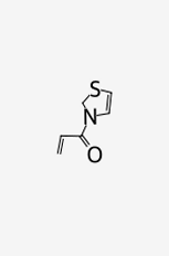 C=CC(=O)N1C=CSC1